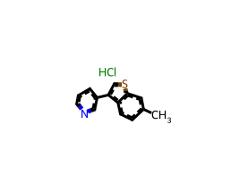 Cc1ccc2c(-c3cccnc3)csc2c1.Cl